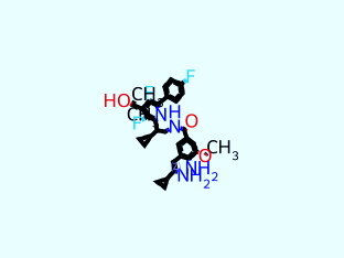 COc1cc(C(=O)NCC(c2nc(-c3ccc(F)cc3)c(F)c(C(C)(C)O)c2F)C2CC2)cc(/C=C(\N)C2CC2)c1N